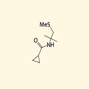 CSCC(C)(C)NC(=O)C1CC1